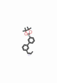 C/C=C\c1cccc(-c2cccc(B3OC(C)(C)C(C)(C)O3)c2)c1